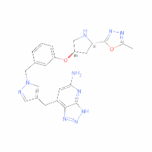 Cc1nnc([C@@H]2C[C@@H](Oc3cccc(Cn4cc(Cc5cc(N)nc6[nH]nnc56)cn4)c3)CN2)o1